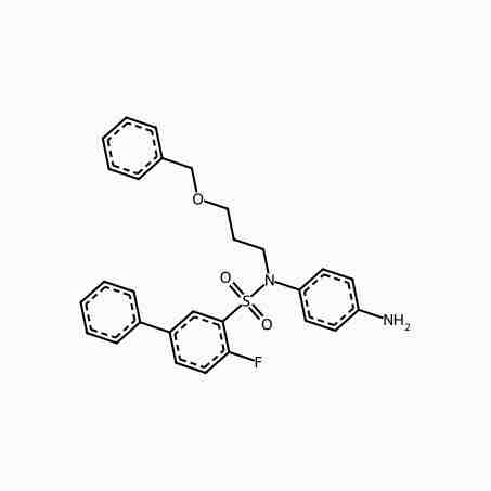 Nc1ccc(N(CCCOCc2ccccc2)S(=O)(=O)c2cc(-c3ccccc3)ccc2F)cc1